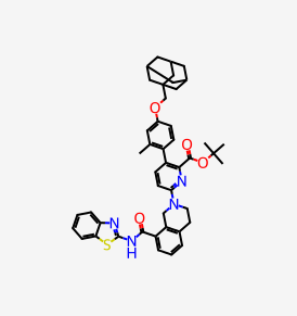 Cc1cc(OCC23CC4CC(CC(C4)C2)C3)ccc1-c1ccc(N2CCc3cccc(C(=O)Nc4nc5ccccc5s4)c3C2)nc1C(=O)OC(C)(C)C